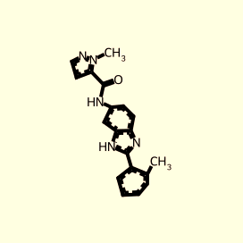 Cc1ccccc1-c1nc2ccc(NC(=O)c3ccnn3C)cc2[nH]1